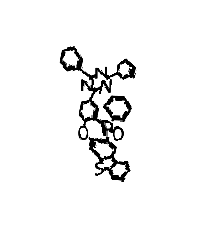 O=P1(c2ccccc2)c2cc(-c3nc(-c4ccccc4)nc(-c4ccccc4)n3)ccc2Oc2cc3sc4ccccc4c3cc21